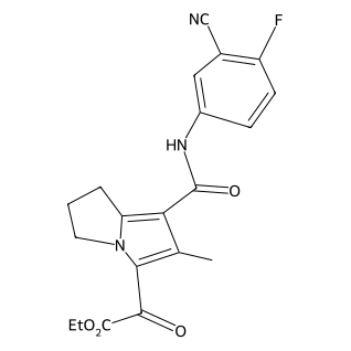 CCOC(=O)C(=O)c1c(C)c(C(=O)Nc2ccc(F)c(C#N)c2)c2n1CCC2